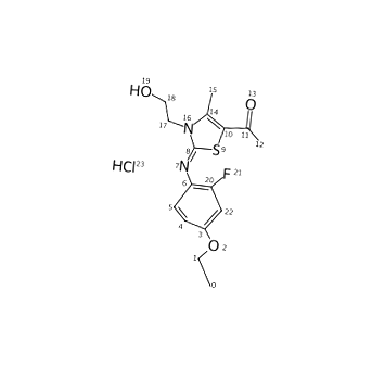 CCOc1ccc(/N=c2\sc(C(C)=O)c(C)n2CCO)c(F)c1.Cl